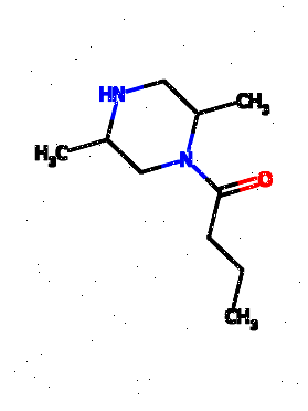 CCCC(=O)N1CC(C)NCC1C